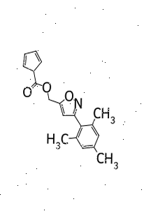 Cc1cc(C)c(-c2cc(COC(=O)C3C=CC=C3)on2)c(C)c1